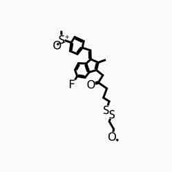 COCCSSCCCC(=O)CC1=C(C)/C(=C/c2ccc([S+](C)[O-])cc2)c2ccc(F)cc21